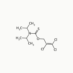 CC(C)N(C(=S)OCC(Cl)=C(Cl)Cl)C(C)C